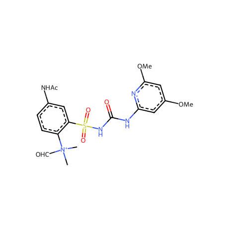 COc1cc(NC(=O)NS(=O)(=O)c2cc(NC(C)=O)ccc2[N+](C)(C)C=O)nc(OC)c1